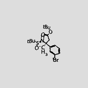 CC(C)(C)OC(=O)C[C@](C)(N[S@+]([O-])C(C)(C)C)c1cccc(Br)c1